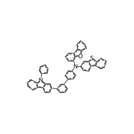 c1ccc(-n2c3ccccc3c3ccc(-c4cccc(-c5ccc(N(c6ccc7c(c6)sc6ccccc67)c6cccc7c6oc6ccccc67)cc5)c4)cc32)cc1